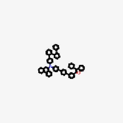 c1ccc(-c2ccccc2-c2ccccc2-c2ccc(N(c3ccc(-c4ccc(-c5cccc(-c6oc7ccccc7c6-c6ccccc6)c5)cc4)cc3)c3cc4ccccc4c4ccccc34)cc2)cc1